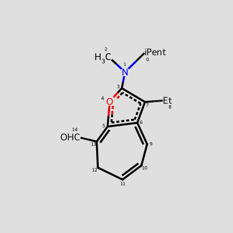 CCCC(C)N(C)c1oc2c(c1CC)=CC=CCC=2C=O